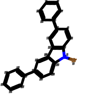 Brn1c2ccc(-c3ccccc3)cc2c2cc(-c3ccccc3)ccc21